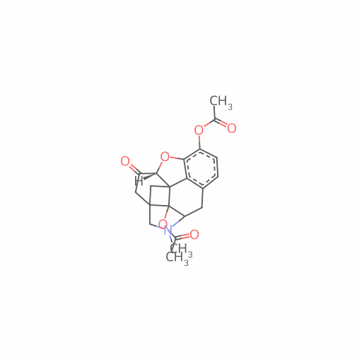 CC(=O)Oc1ccc2c3c1O[C@H]1C(=O)CC45CN(C)C(C2)C4(OC(C)=O)C31C5